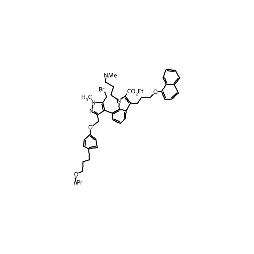 CCCOCCCc1ccc(OCc2nn(C)c(CBr)c2-c2cccc3c(CCCOc4cccc5ccccc45)c(C(=O)OCC)n(CCCNC)c23)cc1